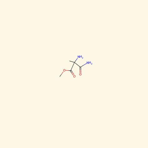 COC(=O)C(C)(N)C(N)=O